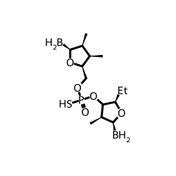 B[C@@H]1O[C@H](COP(=O)(S)OC2[C@@H](CC)O[C@@H](B)[C@H]2C)[C@H](C)[C@@H]1C